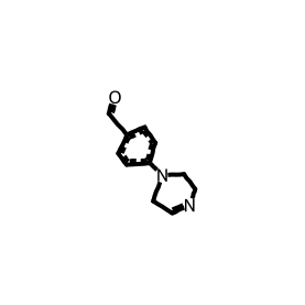 O=Cc1ccc(N2CC=NCC2)cc1